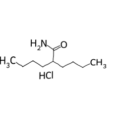 CCCCC(CCCC)C(N)=O.Cl